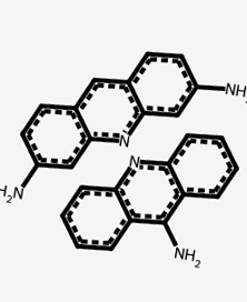 Nc1c2ccccc2nc2ccccc12.Nc1ccc2cc3ccc(N)cc3nc2c1